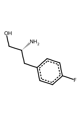 N[C@@H](CO)Cc1ccc(F)cc1